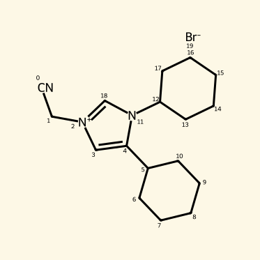 N#CC[n+]1cc(C2CCCCC2)n(C2CCCCC2)c1.[Br-]